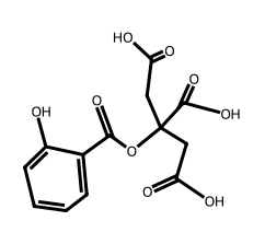 O=C(O)CC(CC(=O)O)(OC(=O)c1ccccc1O)C(=O)O